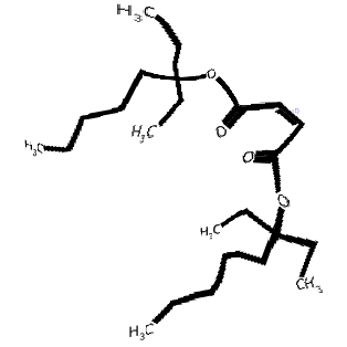 CCCCCC(CC)(CC)OC(=O)/C=C\C(=O)OC(CC)(CC)CCCCC